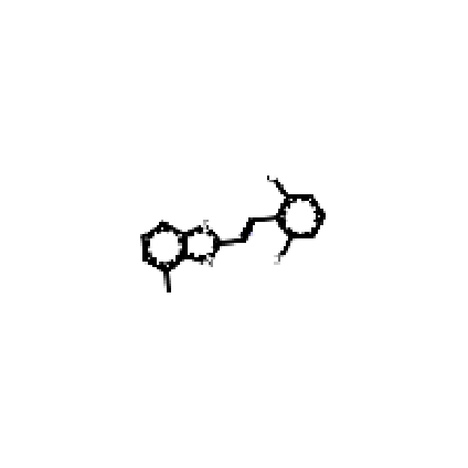 Cc1cccc2sc(/C=C/c3c(Cl)cccc3Cl)nc12